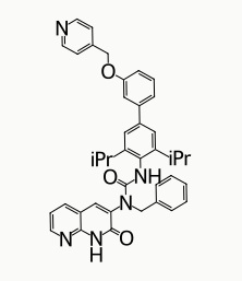 CC(C)c1cc(-c2cccc(OCc3ccncc3)c2)cc(C(C)C)c1NC(=O)N(Cc1ccccc1)c1cc2cccnc2[nH]c1=O